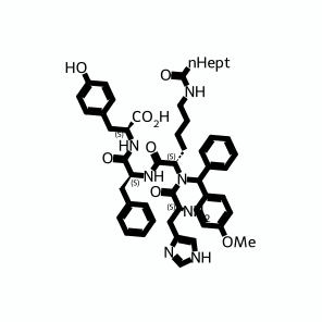 CCCCCCCC(=O)NCCCC[C@@H](C(=O)N[C@@H](Cc1ccccc1)C(=O)N[C@@H](Cc1ccc(O)cc1)C(=O)O)N(C(=O)[C@@H](N)Cc1c[nH]cn1)C(c1ccccc1)c1ccc(OC)cc1